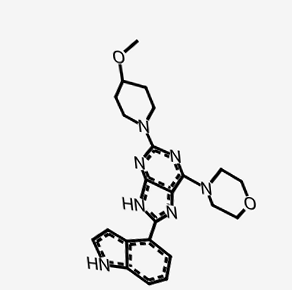 COC1CCN(c2nc(N3CCOCC3)c3nc(-c4cccc5[nH]ccc45)[nH]c3n2)CC1